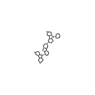 c1ccc(-n2c3ccncc3c3cc(-c4ccc5oc6c(-n7c8ccncc8c8cnccc87)cccc6c5c4)ccc32)cc1